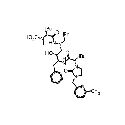 CC[C@H](C)[C@@H](C(=O)N[C@@H](Cc1ccccc1)[C@@H](O)CN(CC(C)C)NC(=O)[C@@H](NC(=O)O)C(C)(C)C)N1CCN(Cc2cccc(C)n2)C1=O